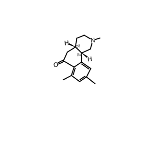 Cc1cc(C)c2c(c1)[C@H]1CN(C)CC[C@H]1CC2=O